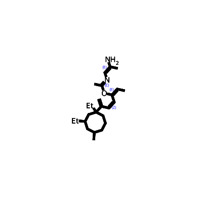 C=C(/C=C\C(=C/C)O/C(C)=N/C=C(\C)N)C1(CC)CCCC(C)CC(CC)C1